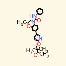 CC(=O)C(C)(C)COc1ccc(-c2ccc3c(c2)O[C@H](C)CN3C(=O)Nc2ccccc2)cn1